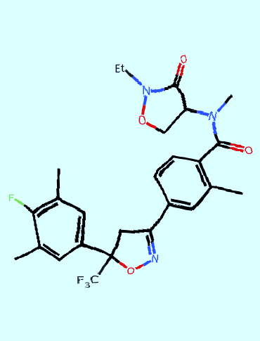 CCN1OCC(N(C)C(=O)c2ccc(C3=NOC(c4cc(C)c(F)c(C)c4)(C(F)(F)F)C3)cc2C)C1=O